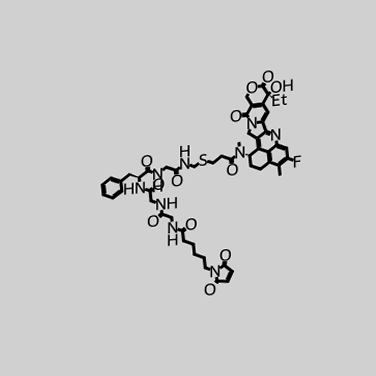 CC[C@@]1(O)C(=O)OCc2c1cc1n(c2=O)Cc2c-1nc1cc(F)c(C)c3c1c2[C@@H](N(C)C(=O)CCSCNC(=O)CNC(=O)[C@H](Cc1ccccc1)NC(=O)CNC(=O)CNC(=O)CCCCCN1C(=O)C=CC1=O)CC3